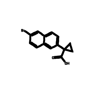 O=C(O)C1(c2ccc3cc(Br)ccc3c2)CC1